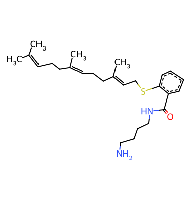 CC(C)=CCC/C(C)=C/CC/C(C)=C/CSc1ccccc1C(=O)NCCCCN